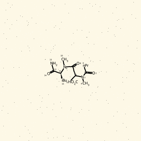 CCCC(=O)N(C)C(C(=O)O)C(=O)N(C)[C@H](C(N)=O)C(C)CC